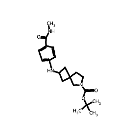 CNC(=O)c1ccc(NC2CC3(CCN(C(=O)OC(C)(C)C)C3)C2)cc1